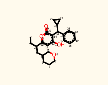 CCC(CC1CCCOC1)c1cc(O)c(C(c2ccccc2)C2CC2)c(=O)o1